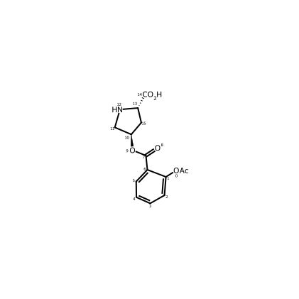 CC(=O)Oc1ccccc1C(=O)O[C@H]1CN[C@H](C(=O)O)C1